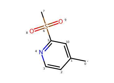 [CH2]c1ccnc(S(C)(=O)=O)c1